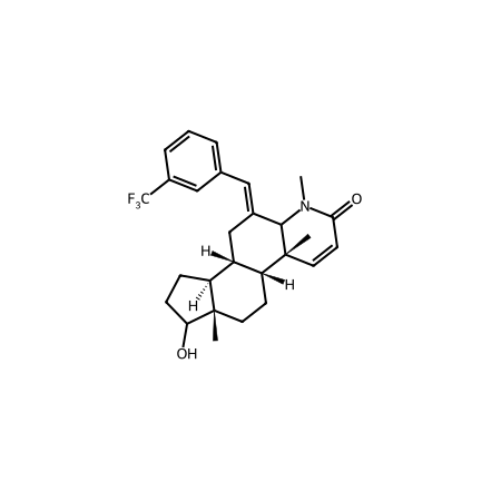 CN1C(=O)C=C[C@@]2(C)C1C(=Cc1cccc(C(F)(F)F)c1)C[C@@H]1[C@H]2CC[C@]2(C)C(O)CC[C@@H]12